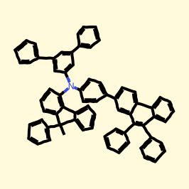 CC1(c2ccccc2)c2ccccc2-c2c(N(c3ccc(-c4ccc5c(c4)c(-c4ccccc4)c(-c4ccccc4)c4ccccc45)cc3)c3cc(-c4ccccc4)cc(-c4ccccc4)c3)cccc21